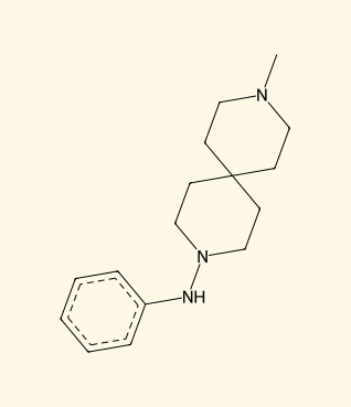 CN1CCC2(CC1)CCN(Nc1ccccc1)CC2